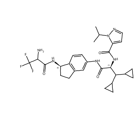 CC(C)n1nccc1C(=O)N[C@H](C(=O)Nc1ccc2c(c1)CC[C@H]2NC(=O)C(N)C(F)(F)F)C(C1CC1)C1CC1